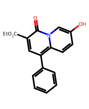 CCOC(=O)c1cc(-c2ccccc2)c2ccc(O)cn2c1=O